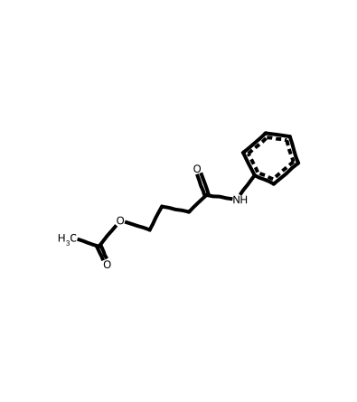 CC(=O)OCCCC(=O)Nc1ccccc1